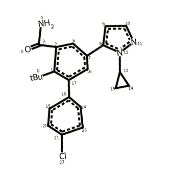 CC(C)(C)c1c(C(N)=O)cc(-c2ccnn2C2CC2)cc1-c1ccc(Cl)cc1